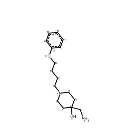 NCC1(O)CCN(CCCCOc2ccccc2)CC1